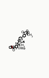 COc1cc(C(=O)N2CC3CCC2[C@@H]3N)cc2nc(-c3cc4ccc(-c5ccc6c(c5)C(=O)CS(=O)(=O)N6C)nc4n3CC3CC3)n(C)c12